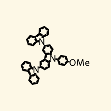 COc1ccc(-n2c3ccc(-n4c5ccccc5c5ccccc54)cc3c3cc(-n4c5ccccc5c5ccccc54)ccc32)cc1